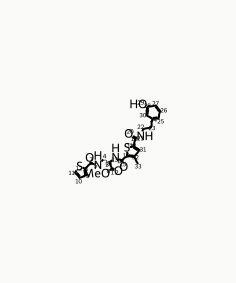 COC(=O)[C@H](CNC(=O)c1cccs1)NC(=O)c1sc(C(=O)NCCc2cccc(O)c2)cc1C